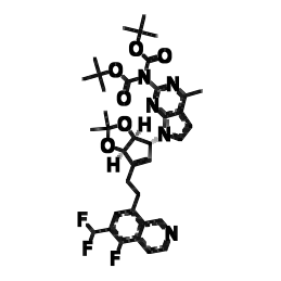 Cc1nc(N(C(=O)OC(C)(C)C)C(=O)OC(C)(C)C)nc2c1ccn2[C@@H]1C=C(CCc2cc(C(F)F)c(F)c3ccncc23)[C@H]2OC(C)(C)O[C@H]21